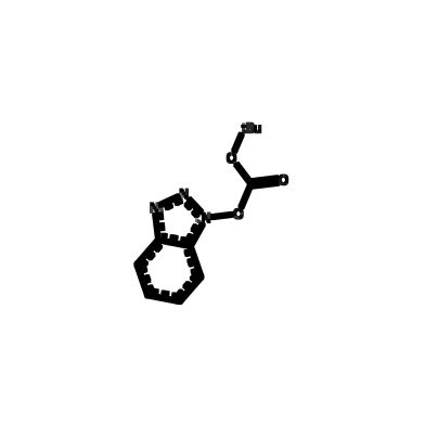 CC(C)(C)OC(=O)On1nnc2ccccc21